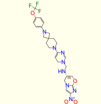 O=[N+]([O-])c1cn2c(n1)OC[C@@H](NCN1C=NC(N3CCC4(CC3)CN(c3ccc(OC(F)(F)F)cc3)C4)=CC1)C2